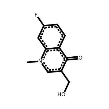 Cn1cc(CO)c(=O)c2ccc(F)cc21